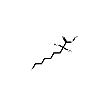 CCCCCCCC(C)(C)C(=O)OO